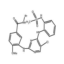 COc1ccc(C(=O)NC(C)C)cc1Nc1ncc(Cl)c(Nc2ccccc2NS(C)(=O)=O)n1